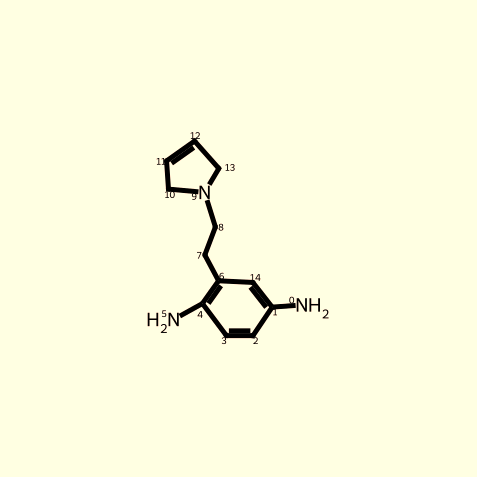 Nc1ccc(N)c(CCN2CC=CC2)c1